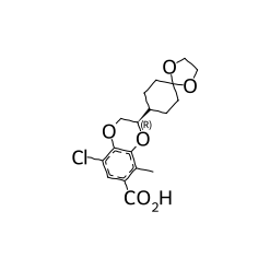 Cc1c(C(=O)O)cc(Cl)c2c1O[C@H](C1CCC3(CC1)OCCO3)CO2